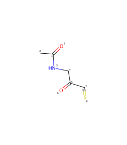 CC(=O)NCC(=O)C=S